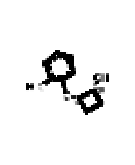 Cc1ccccc1O[C@H]1CC[C@H]1O